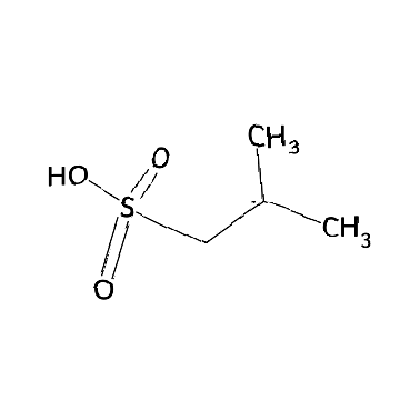 C[C](C)CS(=O)(=O)O